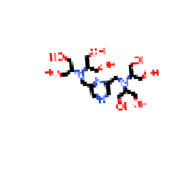 OCC(CO)N(Cc1cncc(CN(C(CO)CO)C(CO)CO)n1)C(CO)CO